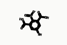 O=C(O)c1cc(S)cc(C(=O)O)c1[N+](=O)[O-]